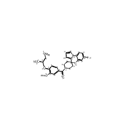 COC[C@H](C)Oc1ccc(C(=O)N2CCC3(CC2)Oc2cc(F)ccc2-n2cccc23)cc1OC